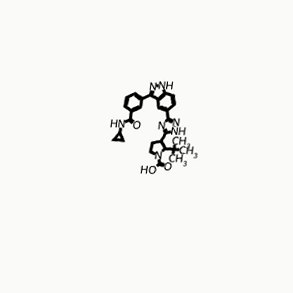 CC(C)(C)C1C(c2nc(-c3ccc4[nH]nc(-c5cccc(C(=O)NC6CC6)c5)c4c3)n[nH]2)CCN1C(=O)O